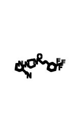 N#Cc1cccnc1N1CCN(C(=O)C=Cc2cccc(C(F)(F)F)c2)CC1